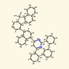 CC1(C)c2cccc(-c3ccc(-c4cc(-c5ccccc5-c5ccccc5)nc(-c5ccccc5)n4)c4ccccc34)c2-c2ccc3ccccc3c21